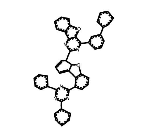 C1=CC(c2nc(-c3cccc(-c4ccccc4)c3)c3oc4ccccc4c3n2)C2Oc3cccc(-c4nc(-c5ccccc5)nc(-c5ccccc5)n4)c3C2=C1